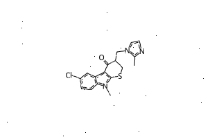 Cc1nccn1CC1CSc2c(c3cc(Cl)ccc3n2C)C1=O